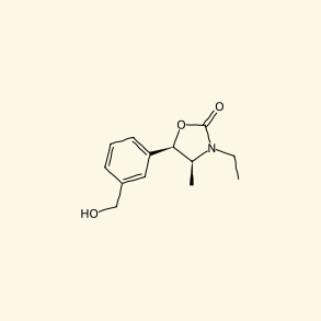 CCN1C(=O)O[C@H](c2cccc(CO)c2)[C@@H]1C